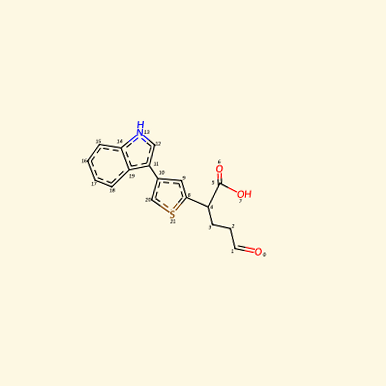 O=CCCC(C(=O)O)c1cc(-c2c[nH]c3ccccc23)cs1